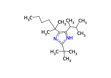 CCCCC(C)(C)c1nc(C(C)(C)C)[nH]c1C(C)C(C)C